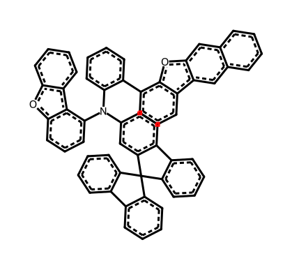 c1ccc(N(c2ccc3c(c2)C2(c4ccccc4-c4ccccc42)c2ccccc2-3)c2cccc3oc4ccccc4c23)c(-c2cccc3c2oc2cc4ccccc4cc23)c1